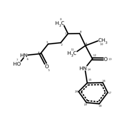 CC(CCC(=O)NO)CC(C)(C)C(=O)Nc1ccccc1